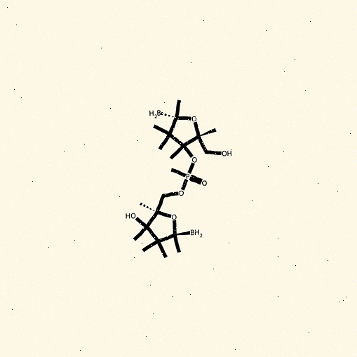 B[C@]1(C)O[C@](C)(COP(C)(=O)OC2(C)C(C)(C)[C@@](B)(C)O[C@]2(C)CO)C(C)(O)C1(C)C